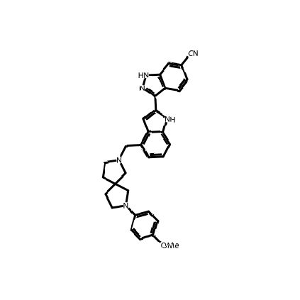 COc1ccc(N2CCC3(CCN(Cc4cccc5[nH]c(-c6n[nH]c7cc(C#N)ccc67)cc45)C3)C2)cc1